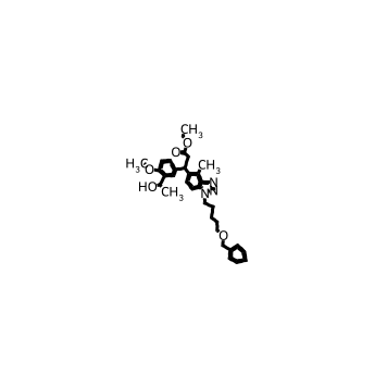 CCOC(=O)CC(c1ccc(OC)c(C(C)O)c1)c1ccc2c(nnn2CCCCCOCc2ccccc2)c1C